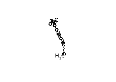 COCCCCCCN1CCN(c2ccc(N3CCN(c4ccc(-c5ccc([N+]6(OC=O)N=Nc7ccccc76)cc5)cc4)CC3)cc2)CC1